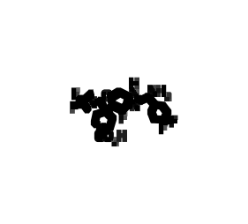 NC(c1nc2c(F)c(C3(C(=O)N4CC(F)(F)C4)CCN(C(=O)O)CC3)ccc2[nH]1)C1CCC(F)(F)CC1